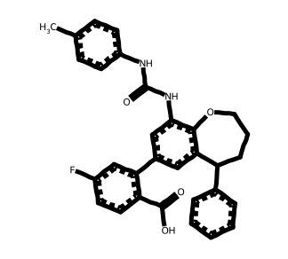 Cc1ccc(NC(=O)Nc2cc(-c3cc(F)ccc3C(=O)O)cc3c2OCCCC3c2ccccc2)cc1